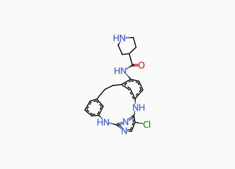 O=C(Nc1ccc2cc1CCc1cccc(c1)Nc1ncc(Cl)c(n1)N2)C1CCNCC1